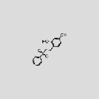 O=S(=O)(CCc1ccc(O)cc1O)c1ccccc1